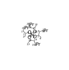 CC(C)CC(C)O[Si](OC(C)CC(C)C)(OC(C)CC(C)C)OC(C)CC(C)C